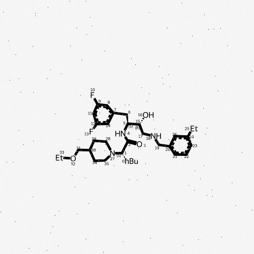 CCCC[C@@H](C(=O)N[C@@H](Cc1cc(F)cc(F)c1)[C@H](O)CNCc1cccc(CC)c1)N1CCC(COCC)CC1